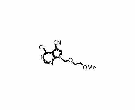 COCCOCn1cc(C#N)c2c(Cl)ncnc21